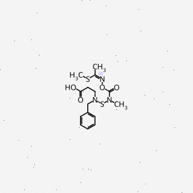 CS/C(C)=N\OC(=O)N(C)SN(CCC(=O)O)Cc1ccccc1